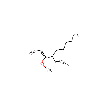 CC=C(OC)C(CC)CCCCC